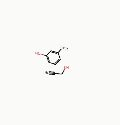 C#CCO.O=S(=O)(O)c1cccc(O)c1